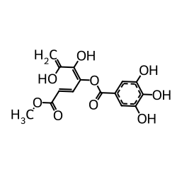 C=C(O)/C(O)=C(\C=C\C(=O)OC)OC(=O)c1cc(O)c(O)c(O)c1